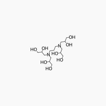 OCC(O)CN(CCCN(CC(O)CO)CC(O)CO)CC(O)CO